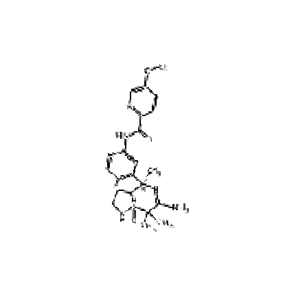 CCOc1ccc(C(=O)Nc2ccc(F)c([C@@]3(C)N=C(N)C(C)(C)[SH]4(=O)NCCC34)c2)nc1